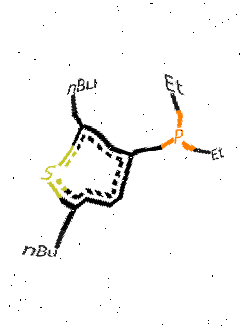 CCCCc1cc(P(CC)CC)c(CCCC)s1